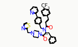 O=C([C@H](Cc1ccccc1)N(Cc1ccc(-c2ccccn2)cc1)C(=O)C=Cc1ccc(C(F)(F)F)cc1)N1CCN(Cc2nccs2)CC1